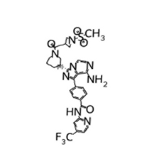 CS(=O)(=O)N1CC(C(=O)N2CCC[C@@H](c3nc(-c4ccc(C(=O)Nc5cc(C(F)(F)F)ccn5)cc4)c4c(N)nccn34)C2)C1